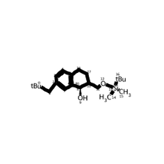 CC(C)(C)Cc1ccc2c(c1)[C@H](O)C(CO[Si](C)(C)C(C)(C)C)CC2